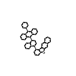 c1ccc(-c2c3ccccc3c(-c3ccc(-c4cccc5sc6cc7ccccc7cc6c45)c4ccccc34)c3ccccc23)cc1